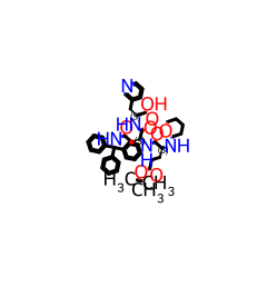 CC(C)(C)OC(=O)CC[C@H](NC1CCCCO1)C(=O)N[C@@H](CC(=O)NC(c1ccccc1)(c1ccccc1)c1ccccc1)C(=O)N[C@@H](Cc1cccnc1)C(=O)O